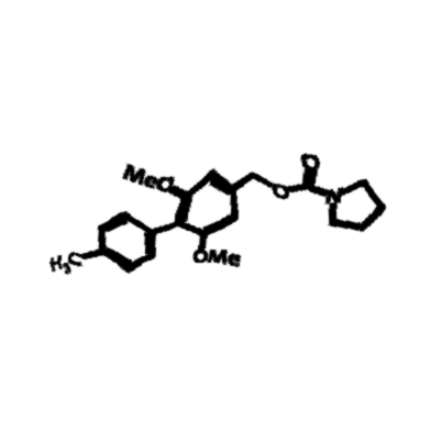 COc1cc(COC(=O)N2CCCC2)cc(OC)c1-c1ccc(C)cc1